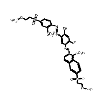 O=S(=O)(O)OCCS(=O)(=O)c1ccc(/N=N/c2cc(/N=N/c3ccc4cc(S(=O)(=O)CCOS(=O)(=O)O)ccc4c3S(=O)(=O)O)c(O)cc2O)c(S(=O)(=O)O)c1